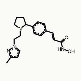 Cc1ccn(CCN2CCCC2c2ccc(C=CC(=O)NO)cc2)n1